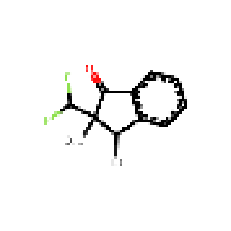 CCC1c2ccccc2C(=O)C1(C(=O)O)C(F)F